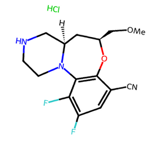 COC[C@@H]1C[C@@H]2CNCCN2c2c(F)c(F)cc(C#N)c2O1.Cl